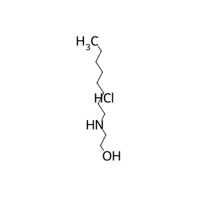 CCCCCCCCNCCO.Cl